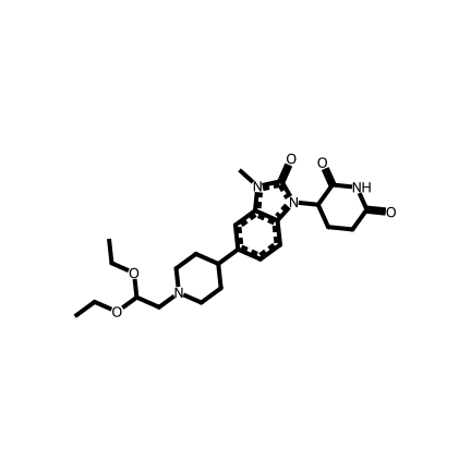 CCOC(CN1CCC(c2ccc3c(c2)n(C)c(=O)n3C2CCC(=O)NC2=O)CC1)OCC